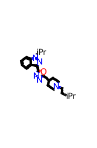 CC(C)CCN1CCC(c2nnc(-c3nn(C(C)C)c4ccccc34)o2)CC1